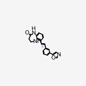 O=C1CCNc2c(/C=C/c3cccc(-c4cnco4)c3)cccc2N1